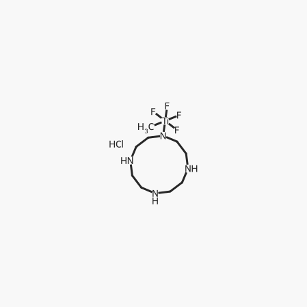 Cl.[CH3][Ti]([F])([F])([F])([F])[N]1CCNCCNCCNCC1